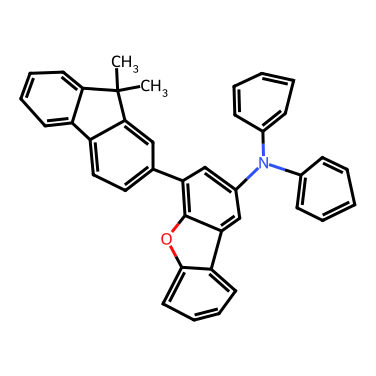 CC1(C)c2ccccc2-c2ccc(-c3cc(N(c4ccccc4)c4ccccc4)cc4c3oc3ccccc34)cc21